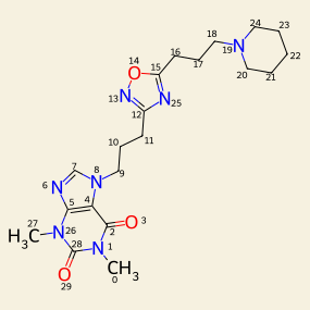 Cn1c(=O)c2c(ncn2CCCc2noc(CCCN3CCCCC3)n2)n(C)c1=O